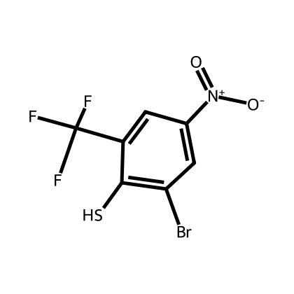 O=[N+]([O-])c1cc(Br)c(S)c(C(F)(F)F)c1